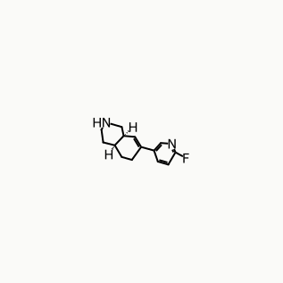 Fc1ccc(C2=C[C@@H]3CNCC[C@@H]3CC2)cn1